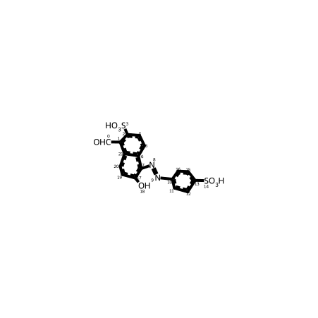 O=Cc1c(S(=O)(=O)O)ccc2c(N=Nc3ccc(S(=O)(=O)O)cc3)c(O)ccc12